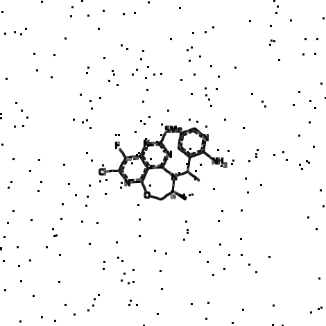 CSc1nc2c3c(nc(Cl)c(F)c3n1)OC[C@H](C)N2C(C)c1cccnc1N